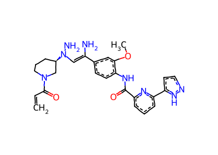 C=CC(=O)N1CCC[C@@H](N(N)/C=C(\N)c2ccc(NC(=O)c3cccc(-c4ccn[nH]4)n3)c(OC)c2)C1